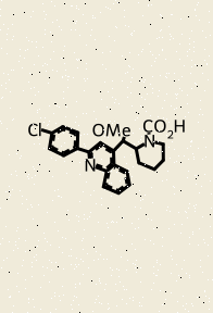 COC(c1cc(-c2ccc(Cl)cc2)nc2ccccc12)C1CCCCN1C(=O)O